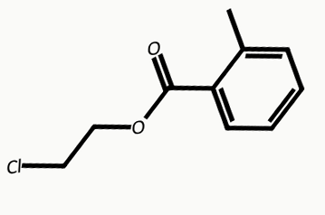 Cc1ccccc1C(=O)OCCCl